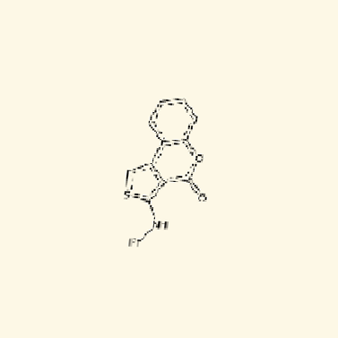 CC(C)Nc1scc2c1c(=O)oc1ccccc12